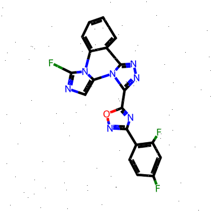 Fc1ccc(-c2noc(-c3nnc4c5ccccc5n5c(F)ncc5n34)n2)c(F)c1